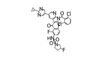 O=C(c1c(F)ccc(NS(=O)(=O)N2CCC(F)C2)c1F)c1cn(C(=O)c2c(Cl)cccc2Cl)c2ncc(-c3cnc(C4CC4)nc3)cc12